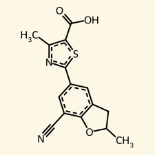 Cc1nc(-c2cc(C#N)c3c(c2)CC(C)O3)sc1C(=O)O